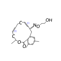 Cc1cc(C)c2c(c1)CC(=NOCCO)/C=C/CC/C=C/CC(C)OC2=O